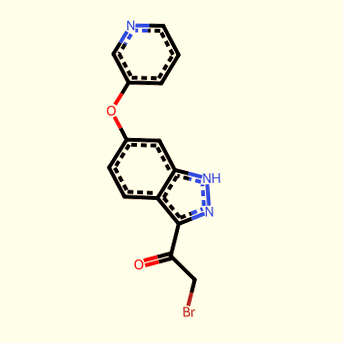 O=C(CBr)c1n[nH]c2cc(Oc3cccnc3)ccc12